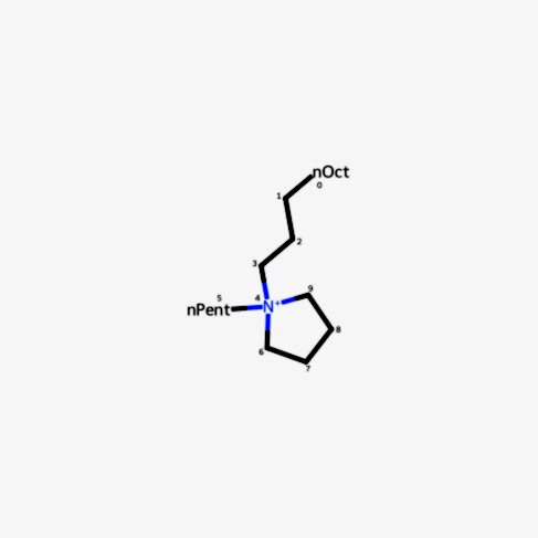 CCCCCCCCCCC[N+]1(CCCCC)CCCC1